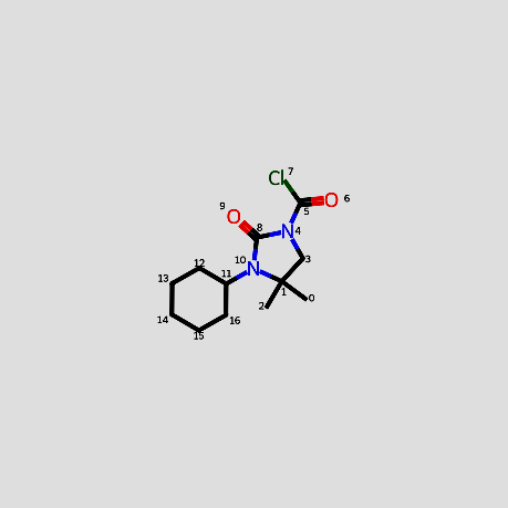 CC1(C)CN(C(=O)Cl)C(=O)N1C1CCCCC1